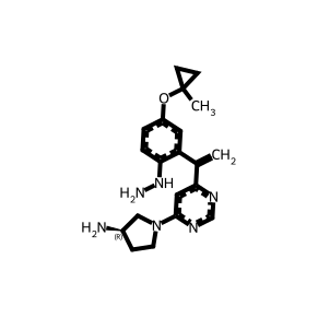 C=C(c1cc(N2CC[C@@H](N)C2)ncn1)c1cc(OC2(C)CC2)ccc1NN